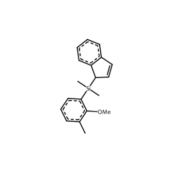 COc1c(C)cccc1[Si](C)(C)C1C=Cc2ccccc21